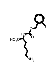 NCCCCC(NC(=O)OCc1ccccc1I)C(=O)O